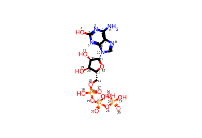 Nc1nc(O)nc2c1ncn2[C@@H]1O[C@H](COP(=O)(O)OP(=O)(O)OP(=O)(O)O)[C@@H](O)[C@H]1O